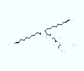 CCCCCCCCC=CCCCCCCCC(=O)OC(CCCCCCCC=CCCCCCCCC)CC(=O)NCC(=O)N[C@@H](CO)C(=O)O